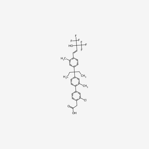 CCC(CC)(c1ccc(C=CC(O)(C(F)(F)F)C(F)(F)F)c(C)c1)c1ccc(-c2ccc(CC(=O)O)c(Cl)c2)c(C)c1